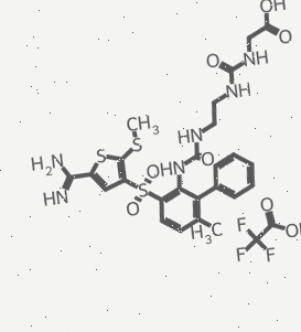 CSc1sc(C(=N)N)cc1S(=O)(=O)c1ccc(C)c(-c2ccccc2)c1NC(=O)NCCNC(=O)NCC(=O)O.O=C(O)C(F)(F)F